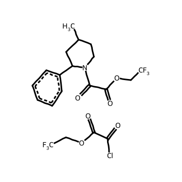 CC1CCN(C(=O)C(=O)OCC(F)(F)F)C(c2ccccc2)C1.O=C(Cl)C(=O)OCC(F)(F)F